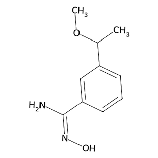 COC(C)c1cccc(/C(N)=N\O)c1